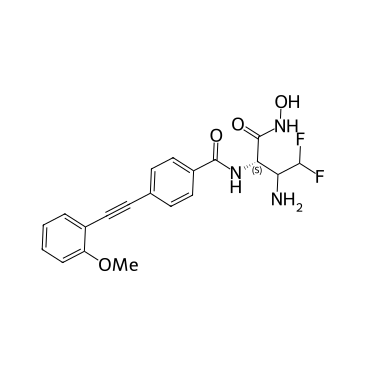 COc1ccccc1C#Cc1ccc(C(=O)N[C@H](C(=O)NO)C(N)C(F)F)cc1